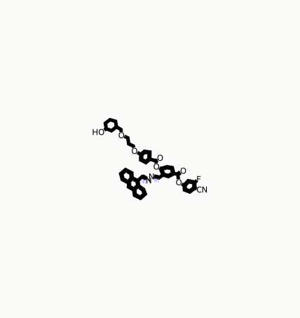 N#Cc1ccc(OC(=O)c2ccc(OC(=O)c3ccc(OCCCOCC4CCCC(O)C4)cc3)c(/C=N/N=C/c3c4ccccc4cc4ccccc34)c2)cc1F